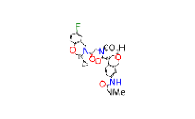 CNC(=O)Nc1ccc2c(c1)COC[C@@H]2C(=O)N(CC(=O)N1Cc2cc(F)ccc2OC[C@H]1C1CC1)C(=O)O